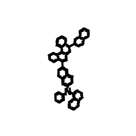 c1ccc(N(c2ccc3cc(-c4cc5cc(-c6ccc7ccccc7c6)c6ccccc6c5c5ccccc45)ccc3c2)c2cccc3ccccc23)cc1